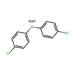 Clc1ccc(Sc2ccc(Cl)cc2)cc1.[NaH]